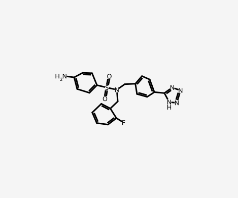 Nc1ccc(S(=O)(=O)N(Cc2ccc(-c3nnn[nH]3)cc2)Cc2ccccc2F)cc1